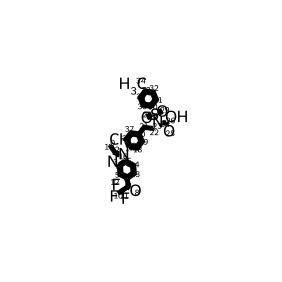 CCc1nc2cc(C(=O)C(F)(F)F)ccc2n1-c1ccc(CCN(C(=O)O)S(=O)(=O)c2ccc(C)cc2)cc1